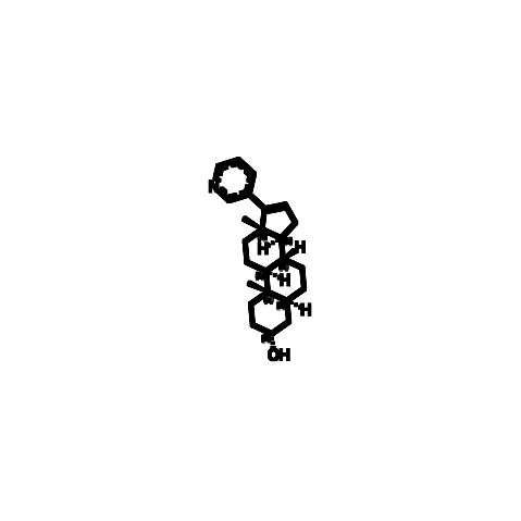 C[C@]12CC[C@@H](O)C[C@@H]1CC[C@@H]1[C@@H]2CC[C@]2(C)C(c3cccnc3)=CC[C@@H]12